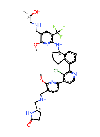 COc1nc(-c2ccnc(-c3cccc4c3CCC[C@H]4Nc3nc(OC)c(CNC[C@H](C)O)cc3C(F)(F)F)c2Cl)ccc1CNC[C@H]1CCC(=O)N1